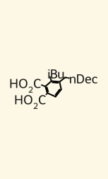 CCCCCCCCCCCc1ccc(C(=O)O)c(C(=O)O)c1C(C)CC